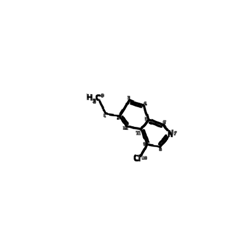 CCc1ccc2cncc(Cl)c2c1